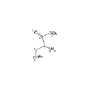 CC(C)COCC(N)C(=O)OCC(C)C